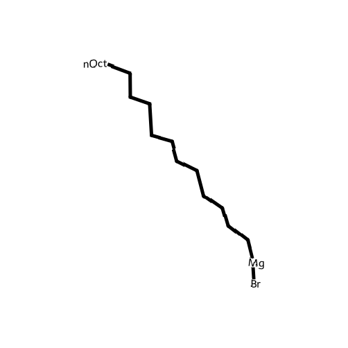 CCCCCCCCCCCCCCCCCC[CH2][Mg][Br]